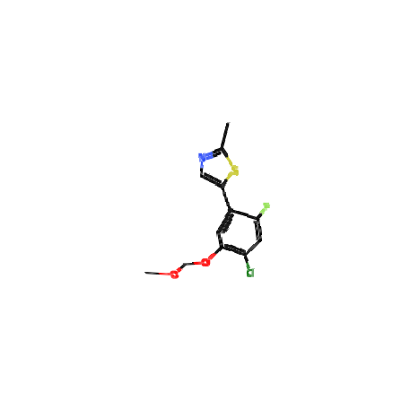 COCOc1cc(-c2cnc(C)s2)c(F)cc1Cl